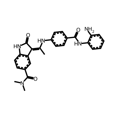 C/C(Nc1ccc(C(=O)Nc2ccccc2N)cc1)=C1/C(=O)Nc2ccc(C(=O)N(C)C)cc21